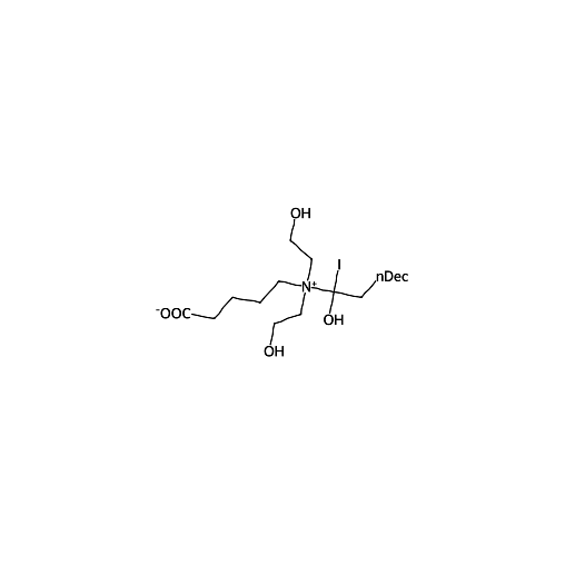 CCCCCCCCCCCC(O)(I)[N+](CCO)(CCO)CCCCC(=O)[O-]